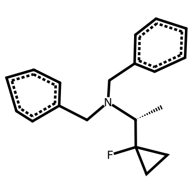 C[C@@H](N(Cc1ccccc1)Cc1ccccc1)C1(F)CC1